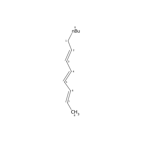 [CH2]CCCC/C=C/C=C/C=C/C